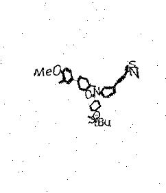 COc1ccc([C@H]2CC[C@H](CN(c3cccc(C#Cc4cscn4)c3)C(=O)[C@H]3CC[C@H](O[Si](C)(C)C(C)(C)C)CC3)CC2)cc1C